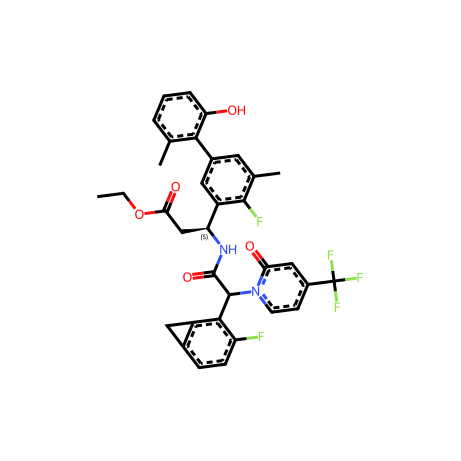 CCOC(=O)C[C@H](NC(=O)C(c1c(F)ccc2c1C2)n1ccc(C(F)(F)F)cc1=O)c1cc(-c2c(C)cccc2O)cc(C)c1F